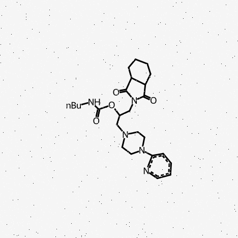 CCCCNC(=O)OC(CN1CCN(c2ccccn2)CC1)CN1C(=O)C2CCCCC2C1=O